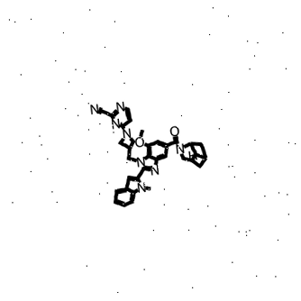 COc1cc(C(=O)N2CC3CC4CC2[C@H]43)cc2nc(-c3cc4ccccc4n3C)n(CC3CN(c4ccnc(C#N)n4)C3)c12